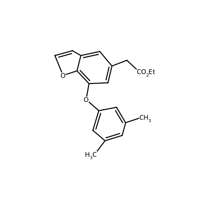 CCOC(=O)Cc1cc(Oc2cc(C)cc(C)c2)c2occc2c1